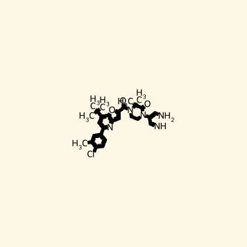 Cc1cc(-c2cc(C(C)(C)C)c3oc(C(=O)N4CCN(/C(C=N)=C/N)C(=O)C4(C)C)cc3n2)ccc1Cl